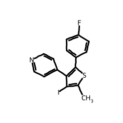 Cc1sc(-c2ccc(F)cc2)c(-c2ccncc2)c1I